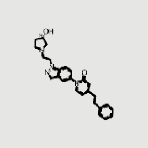 O=c1cc(CCc2ccccc2)ccn1-c1ccc2c(cnn2CCN2CC[C@H](O)C2)c1